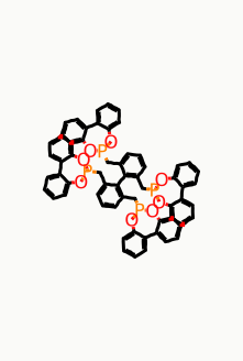 c1cc(Cp2oc3ccccc3c3ccccc3o2)c(-c2c(Cp3oc4ccccc4c4ccccc4o3)cccc2Cp2oc3ccccc3c3ccccc3o2)c(Cp2oc3ccccc3c3ccccc3o2)c1